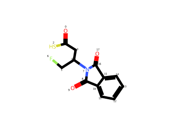 O=C(S)CC(CF)N1C(=O)c2ccccc2C1=O